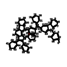 Cc1ccc(-n2c3ccccc3c3cc(N(c4ccccc4)c4cccc(-n5c6ccccc6c6ccc7c(-c8ccccc8)c(-c8ccccc8)n(-c8ccccc8)c7c65)c4)ccc32)cc1